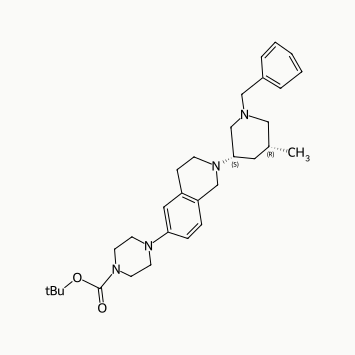 C[C@@H]1C[C@H](N2CCc3cc(N4CCN(C(=O)OC(C)(C)C)CC4)ccc3C2)CN(Cc2ccccc2)C1